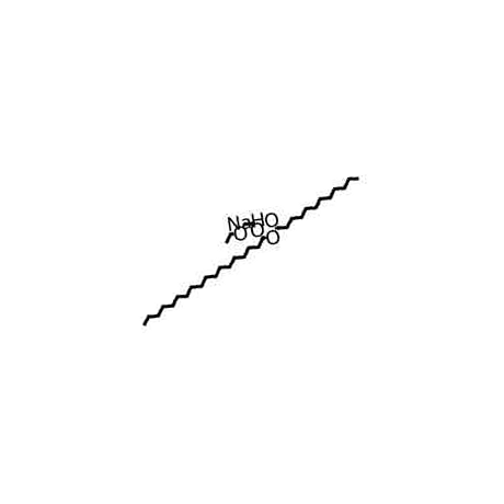 CCCCCCCCCCCCCCCCCC(=O)OC(=O)CCCCCCCCCCC.CCOCC.[NaH]